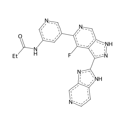 CCC(=O)Nc1cncc(-c2ncc3[nH]nc(-c4nc5cnccc5[nH]4)c3c2F)c1